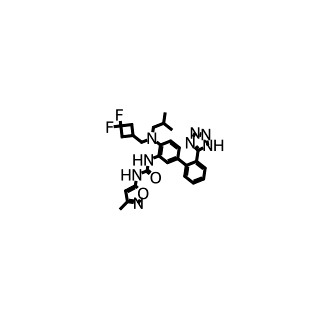 Cc1cc(NC(=O)Nc2cc(-c3ccccc3-c3nnn[nH]3)ccc2N(CC(C)C)CC2CC(F)(F)C2)on1